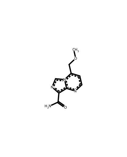 COCc1ccnc2c(C(N)=O)ncn12